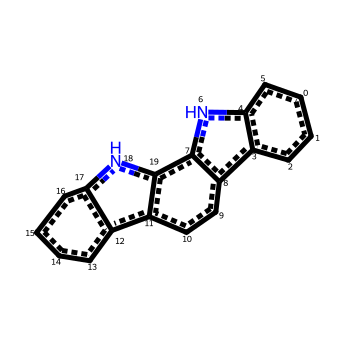 c1ccc2c(c1)[nH]c1c2ccc2c3ccccc3[nH]c21